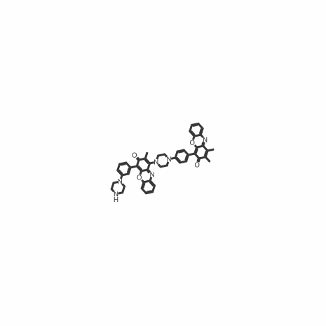 Cc1c2nc3ccccc3oc-2c(-c2ccc(N3CCN(c4c5nc6ccccc6oc-5c(-c5cccc(N6CCNCC6)c5)c(=O)c4C)CC3)cc2)c(=O)c1C